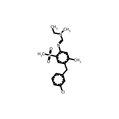 CCN(C)C=Nc1cc(C)c(Cc2cccc(Cl)c2)cc1S(C)(=O)=O